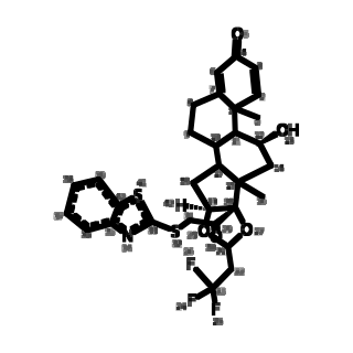 CC12C=CC(=O)C=C1CCC1C2[C@@H](O)CC2(C)C1C[C@@H]1OC(CC(F)(F)F)O[C@]12C(=O)CSc1nc2ccccc2s1